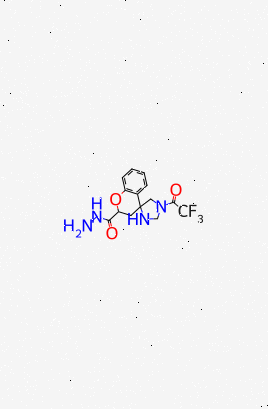 NNC(=O)C1CC2(CN(C(=O)C(F)(F)F)CN2)c2ccccc2O1